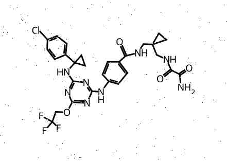 NC(=O)C(=O)NCC1(CNC(=O)c2ccc(Nc3nc(NC4(c5ccc(Cl)cc5)CC4)nc(OCC(F)(F)F)n3)cc2)CC1